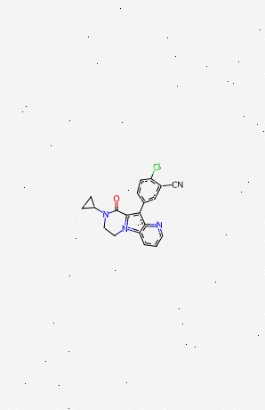 N#Cc1cc(-c2c3n(c4cccnc24)CCN(C2CC2)C3=O)ccc1Cl